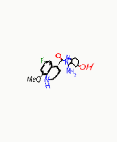 COc1cc(F)cc2c1NCC[C@@H]2C(=O)n1nc2c(c1N)CC(O)CC2